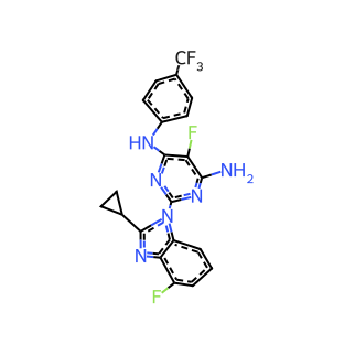 Nc1nc(-n2c(C3CC3)nc3c(F)cccc32)nc(Nc2ccc(C(F)(F)F)cc2)c1F